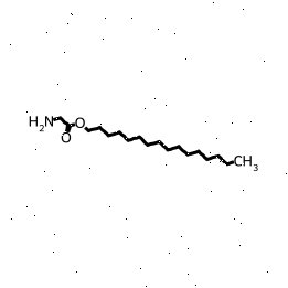 CCCCCCCCCCCCCCCCOC(=O)CN